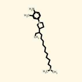 CCC(CCCCCCCCCCCN(C)C)C1CCN(c2ccc(N)c(C)c2)C1